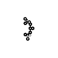 CC1(N2c3ccccc3C3c4cc(-c5ccc(-c6ccc7oc8c(c7c6)c6ccccc6n8C6C=CC=CC6)c6ccccc56)ccc4CCC32)C=CC=CC1